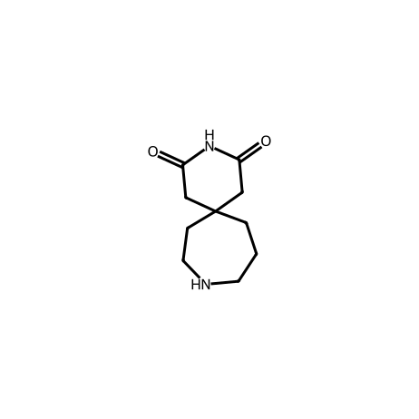 O=C1CC2(CCCNCC2)CC(=O)N1